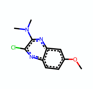 COc1ccc2nc(Cl)c(N(C)C)nc2c1